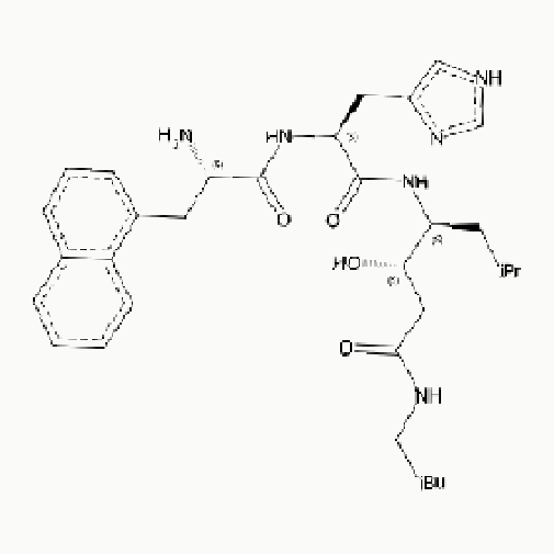 CCC(C)CNC(=O)C[C@H](O)[C@H](CC(C)C)NC(=O)[C@H](Cc1c[nH]cn1)NC(=O)[C@@H](N)Cc1cccc2ccccc12